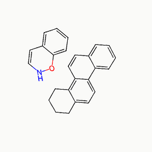 C1=Cc2ccccc2ON1.c1ccc2c(c1)ccc1c3c(ccc12)CCCC3